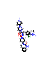 Cc1cc(C[C@@H](NC(=O)N2CCC(N3CCc4ccccc4NC3=O)CC2)C(=O)N2CCN(C3CCNCC3)CC2)cc(Cl)c1N